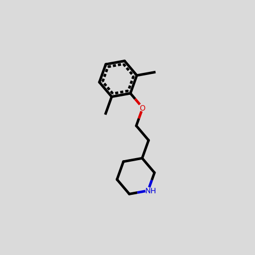 Cc1cccc(C)c1OCCC1CCCNC1